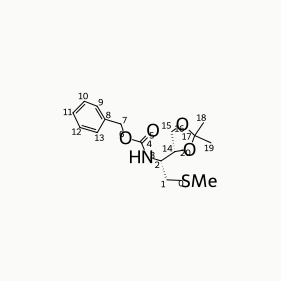 CSC[C@H](NC(=O)OCc1ccccc1)[C@@H]1COC(C)(C)O1